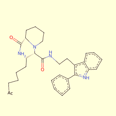 CC(=O)CCCCC[C@@H](C(=O)NCCc1c(-c2ccccc2)[nH]c2ccccc12)N1CCCC[C@H]1C(N)=O